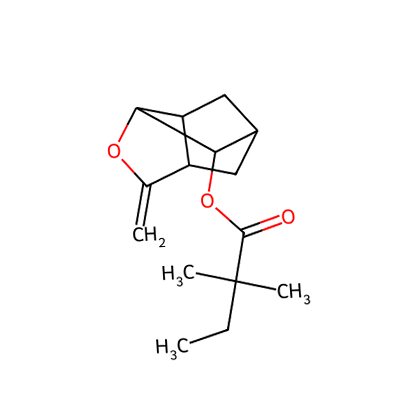 C=C1OC2C3CC(CC13)C2OC(=O)C(C)(C)CC